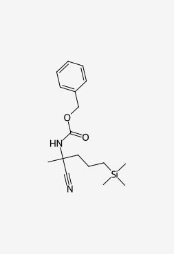 CC(C#N)(CCC[Si](C)(C)C)NC(=O)OCc1ccccc1